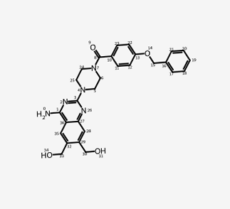 Nc1nc(N2CCN(C(=O)c3ccc(OCc4ccccc4)cc3)CC2)nc2cc(CO)c(CO)cc12